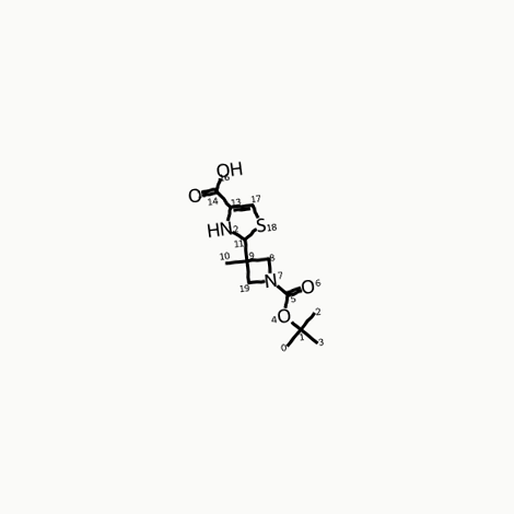 CC(C)(C)OC(=O)N1CC(C)(C2NC(C(=O)O)=CS2)C1